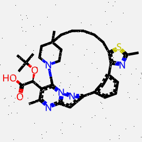 Cc1nc2c(s1)CCCCCC1(C)CCN(CC1)c1c([C@H](OC(C)(C)C)C(=O)O)c(C)nc3cc(nn13)-c1cccc-2c1